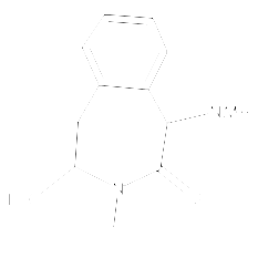 CCN1C(=O)C(NC)c2ccccc2CC1C